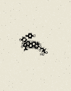 CC(C)C1=C2[C@H]3CC[C@@H]4[C@@]5(C)CC[C@H](OC(=O)CC(C)(C)C(=O)O)C(C)(C)[C@@H]5CC[C@@]4(C)[C@]3(C)CC[C@@]2(C2CN(Cc3ccc(Cl)cc3)CC(=O)N2C)CC1=O